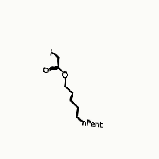 CCCCCCCCCCOC(=O)CI